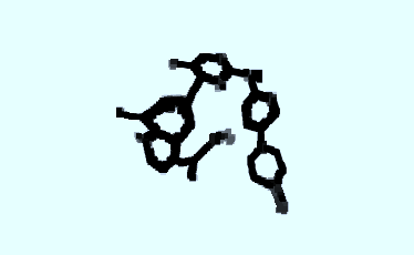 CC(N)c1ccnc2c(F)cc(-c3nc(Nc4ccc(N5CCNCC5)cn4)ncc3F)cc12